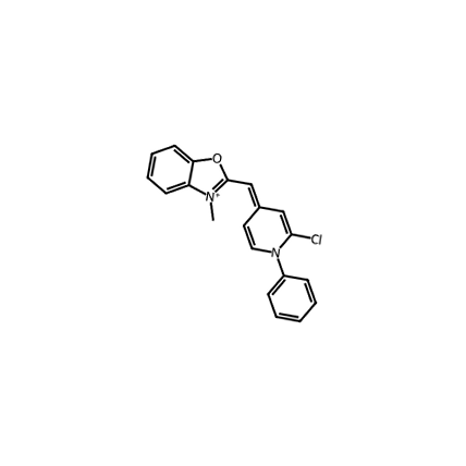 C[n+]1c(C=C2C=CN(c3ccccc3)C(Cl)=C2)oc2ccccc21